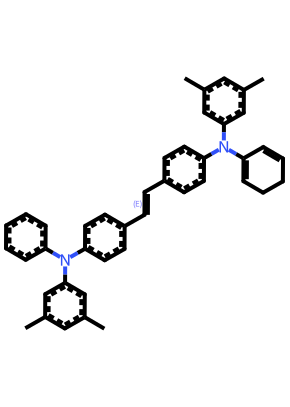 Cc1cc(C)cc(N(C2=CCCC=C2)c2ccc(/C=C/c3ccc(N(c4ccccc4)c4cc(C)cc(C)c4)cc3)cc2)c1